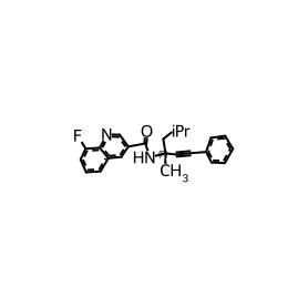 CC(C)C[C@](C)(C#Cc1ccccc1)NC(=O)c1cnc2c(F)cccc2c1